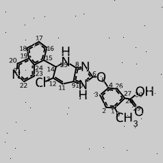 Cc1ccc(Oc2nc3c([nH]2)C=C(Cl)C(c2cccc4cnccc24)N3)cc1C(=O)O